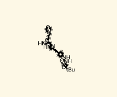 CC(C)(C)c1cc(NC(=O)Nc2ccc(C#Cc3c[nH]c(/C=C(\C=N)OCCCN4CCOCC4)n3)cc2)no1